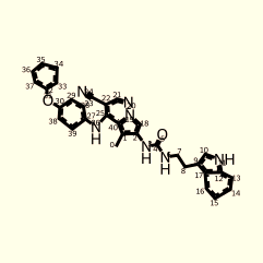 Cc1c(NC(=O)NCCc2c[nH]c3ccccc23)cn2ncc(C#N)c(Nc3ccc(Oc4ccccc4)cc3)c12